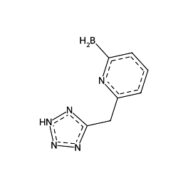 Bc1cccc(Cc2nn[nH]n2)n1